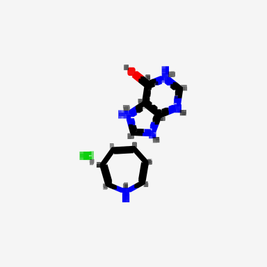 C1=CC=CNC=C1.Cl.O=c1[nH]cnc2nc[nH]c12